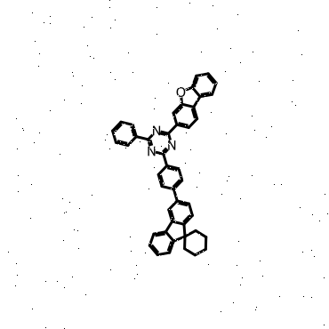 c1ccc(-c2nc(-c3ccc(-c4ccc5c(c4)-c4ccccc4C54CCCCC4)cc3)nc(-c3ccc4c(c3)oc3ccccc34)n2)cc1